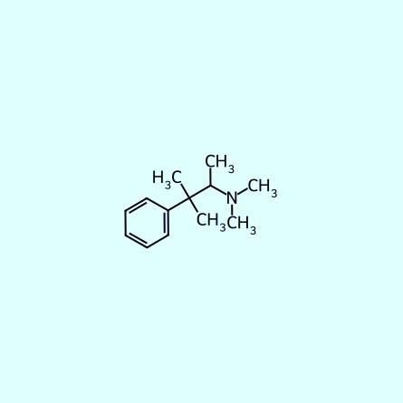 CC(N(C)C)C(C)(C)c1ccccc1